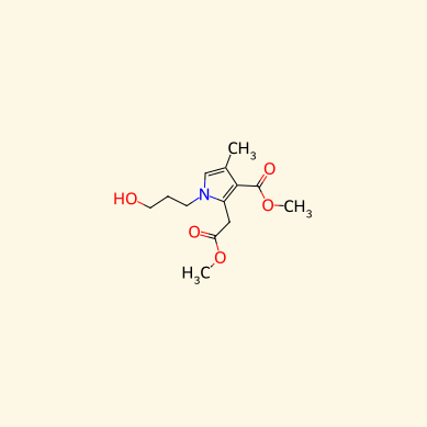 COC(=O)Cc1c(C(=O)OC)c(C)cn1CCCO